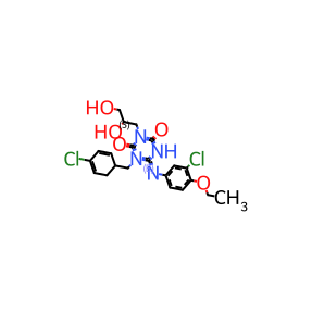 CCOc1ccc(/N=c2\[nH]c(=O)n(C[C@H](O)CO)c(=O)n2CC2C=CC(Cl)=CC2)cc1Cl